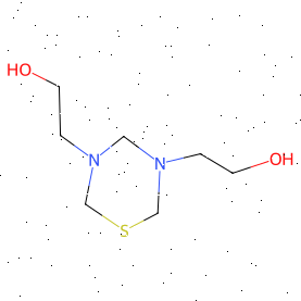 OCCN1CSCN(CCO)C1